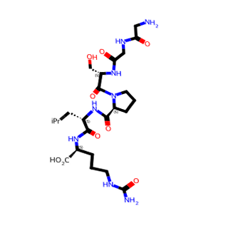 CC(C)C[C@H](NC(=O)[C@@H]1CCCN1C(=O)[C@H](CO)NC(=O)CNC(=O)CN)C(=O)N[C@@H](CCCNC(N)=O)C(=O)O